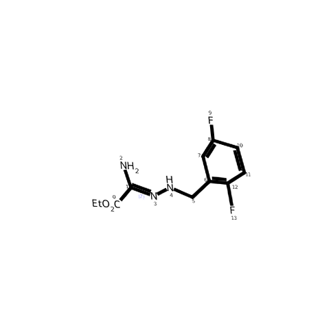 CCOC(=O)/C(N)=N/NCc1cc(F)ccc1F